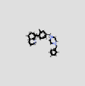 Cc1cc(CN2CCN(Cc3ccccc3)CC2)ccc1-c1cccc2cccnc12